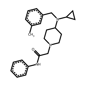 Cc1cccc(CN(C2CC2)C2CCN(CC(=O)Nc3ccccc3)CC2)c1